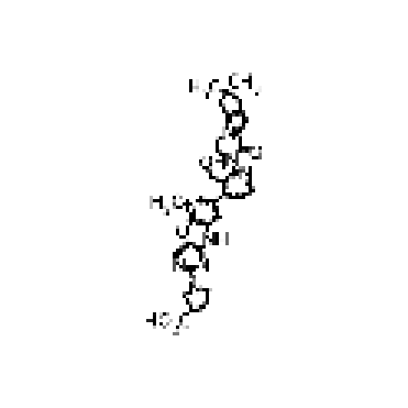 Cn1cc(-c2ccnc(N3CCn4c(cc5c4CC(C)(C)C5)C3=O)c2CO)cc(Nc2ccnc(N3CCC(C(=O)O)C3)n2)c1=O